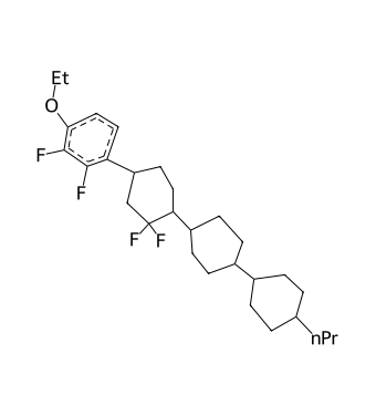 CCCC1CCC(C2CCC(C3CCC(c4ccc(OCC)c(F)c4F)CC3(F)F)CC2)CC1